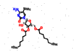 CCCCCCCCCCCCCCCC(=O)OC[C@H]1O[C@@H](n2cc(NC(C)=O)c(N)nc2=O)[C@@H](O)[C@@H]1OC(=O)CCCCCCCCCCCCCCC